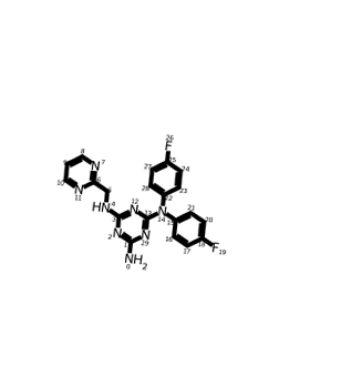 Nc1nc(NCc2ncccn2)nc(N(c2ccc(F)cc2)c2ccc(F)cc2)n1